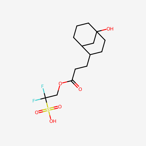 O=C(CCC1CCC2(O)CCCC1C2)OCC(F)(F)S(=O)(=O)O